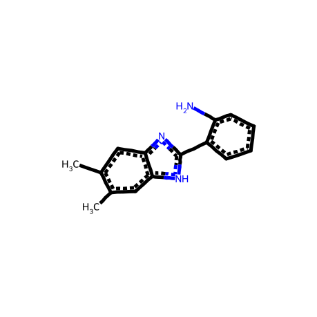 Cc1cc2nc(-c3ccccc3N)[nH]c2cc1C